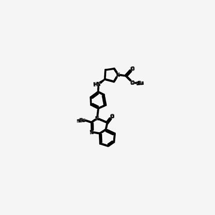 CCCCc1nc2ccccc2c(=O)n1-c1ccc(N[C@H]2CCN(C(=O)OC(C)(C)C)C2)cc1